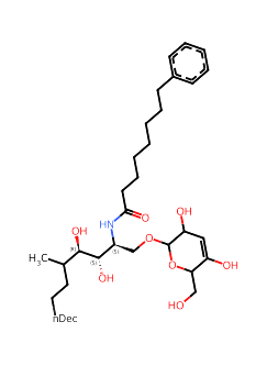 CCCCCCCCCCCCC(C)[C@@H](O)[C@@H](O)[C@H](COC1OC(CO)C(O)=CC1O)NC(=O)CCCCCCCc1ccccc1